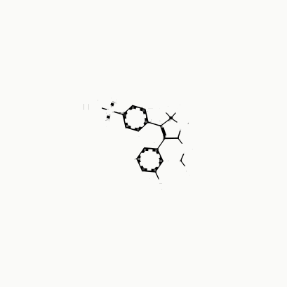 CCOC1OC(C)(C)C(c2ccc(S(C)(=O)=O)cc2)=C1c1cccc(F)c1